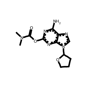 CN(C)C(=O)Oc1nc(N)c2ncn(C3CCCO3)c2n1